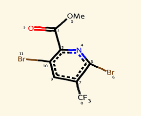 COC(=O)c1nc(Br)c(C(F)(F)F)cc1Br